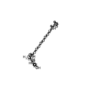 CC(C)[C@H](NC(=O)CCOCCOCCOCCOCCOCCOCCOCCOCCNC(=O)CCN1C(=O)C=CC1=O)C(=O)NCC(=O)Nc1ccc(CO)cc1